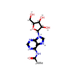 CNC(=O)Nc1ncnc2c1ncn2C1OC(CO)C(O)C1O